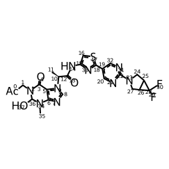 CC(=O)CN1C(=O)c2c(ncn2[C@@H](C)C(=O)Nc2csc(-c3cnc(N4CC5C(C4)C5(F)F)nc3)n2)N(C)C1O